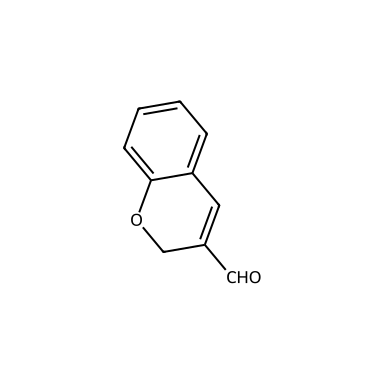 O=CC1=Cc2ccccc2OC1